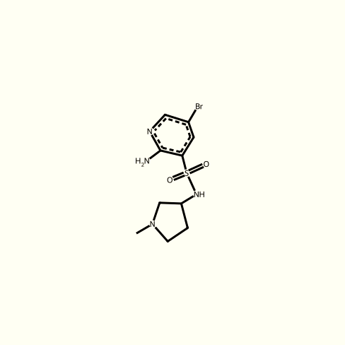 CN1CCC(NS(=O)(=O)c2cc(Br)cnc2N)C1